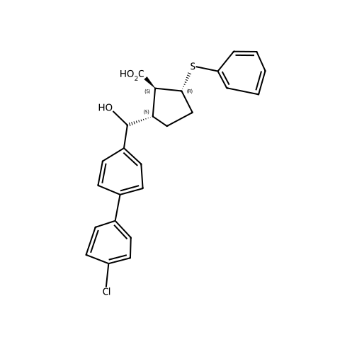 O=C(O)[C@@H]1[C@@H](C(O)c2ccc(-c3ccc(Cl)cc3)cc2)CC[C@H]1Sc1ccccc1